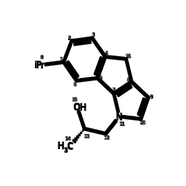 CC(C)c1ccc2c(c1)-c1c(ccn1C[C@H](C)O)C2